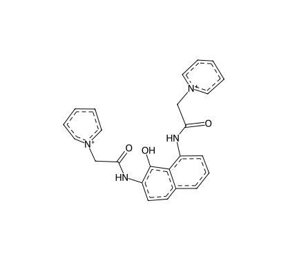 O=C(C[n+]1ccccc1)Nc1ccc2cccc(NC(=O)C[n+]3ccccc3)c2c1O